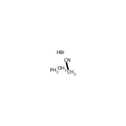 Br.CC#N.O.P